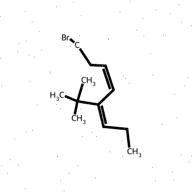 CC/C=C(\C=C/CCBr)C(C)(C)C